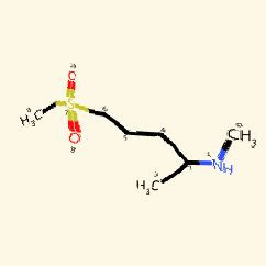 CNC(C)CCCS(C)(=O)=O